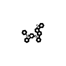 C1=CC2C(C=C1n1c3ccccc3c3ccc4c(ccc5sc6ccccc6c54)c31)c1ccccc1N2c1ccccc1